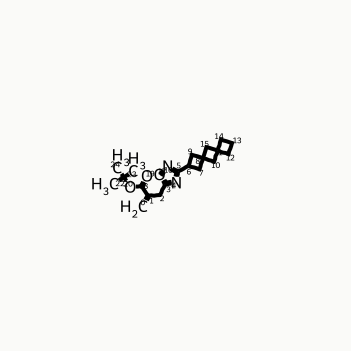 C=C(Cc1nc(C2CC3(C2)CC2(CCC2)C3)no1)C(=O)OC(C)(C)C